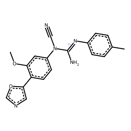 COc1cc(N(C#N)/C(N)=N/c2ccc(C)cc2)ccc1-c1cnco1